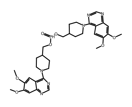 COc1cc2ncnc(N3CCC(CO[PH](=O)OCC4CCN(c5ncnc6cc(OC)c(OC)cc56)CC4)CC3)c2cc1OC